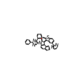 c1ccc(-c2ncc(-n3c4ccc5ccccc5c4c4c5c(ccc43)sc3ccc(-c4ncccn4)cc35)c(-c3ccccc3)n2)cc1